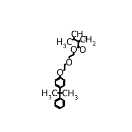 C=C(C(=O)OCCOCCOc1ccc(C(C)(C)c2ccccc2)cc1)C(C)C